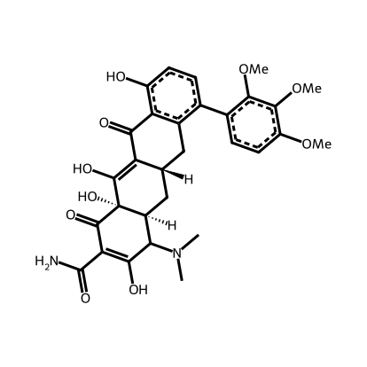 COc1ccc(-c2ccc(O)c3c2C[C@@H]2C[C@H]4C(N(C)C)C(O)=C(C(N)=O)C(=O)[C@@]4(O)C(O)=C2C3=O)c(OC)c1OC